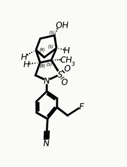 C[C@@]12[C@@H](CN(c3ccc(C#N)c(CF)c3)S1(=O)=O)[C@H]1C[C@H](O)[C@@H]2C1